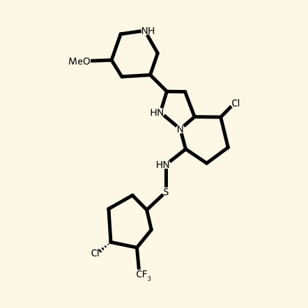 COC1CNCC(C2CC3C(Cl)CCC(NSC4CC[C@@H](Cl)C(C(F)(F)F)C4)N3N2)C1